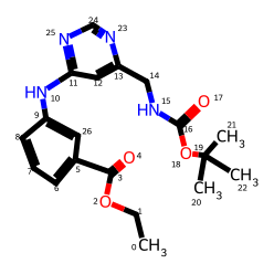 CCOC(=O)c1cccc(Nc2cc(CNC(=O)OC(C)(C)C)ncn2)c1